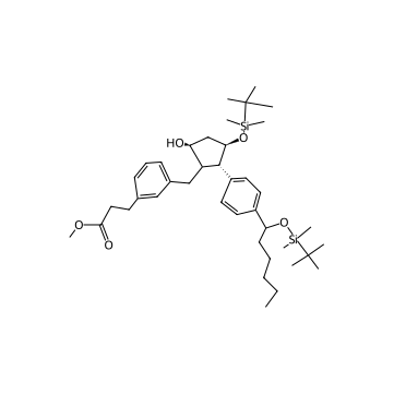 CCCCCC(O[Si](C)(C)C(C)(C)C)c1ccc([C@@H]2C(Cc3cccc(CCC(=O)OC)c3)[C@@H](O)C[C@H]2O[Si](C)(C)C(C)(C)C)cc1